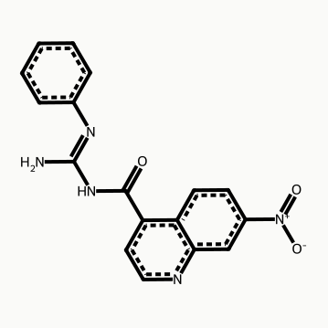 NC(=Nc1ccccc1)NC(=O)c1ccnc2cc([N+](=O)[O-])ccc12